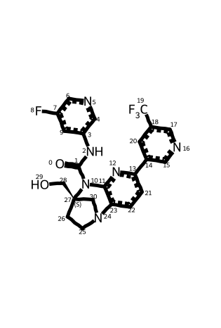 O=C(Nc1cncc(F)c1)N1c2nc(-c3cncc(C(F)(F)F)c3)ccc2N2CC[C@@]1(CO)C2